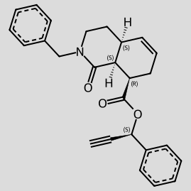 C#C[C@@H](OC(=O)[C@@H]1CC=C[C@@H]2CCN(Cc3ccccc3)C(=O)[C@@H]21)c1ccccc1